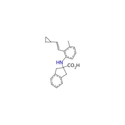 Cc1cccc(NC2(C(=O)O)Cc3ccccc3C2)c1/C=C/C1CC1